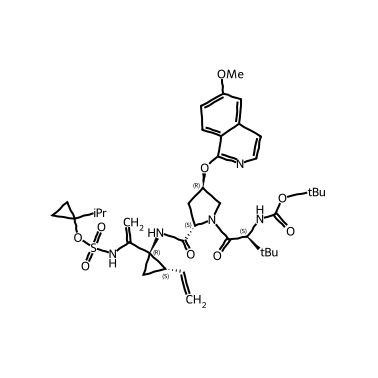 C=C[C@@H]1C[C@]1(NC(=O)[C@@H]1C[C@@H](Oc2nccc3cc(OC)ccc23)CN1C(=O)[C@@H](NC(=O)OC(C)(C)C)C(C)(C)C)C(=C)NS(=O)(=O)OC1(C(C)C)CC1